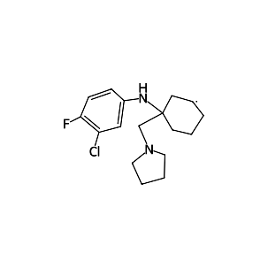 Fc1ccc(NC2(CN3CCCC3)C[CH]CCC2)cc1Cl